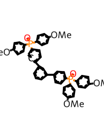 COc1ccc(P(=O)(c2ccc(OC)cc2)c2ccc(-c3cccc(-c4ccc(P(=O)(c5ccc(OC)cc5)c5ccc(OC)cc5)cc4)c3)cc2)cc1